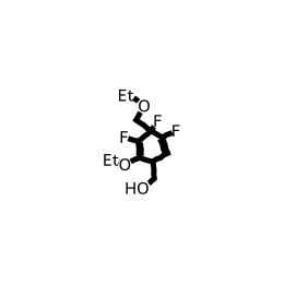 CCOCC1(F)C(F)=CC(CO)C(OCC)=C1F